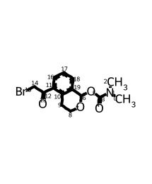 CN(C)C(=O)OC1OCCc2c(C(=O)CBr)cccc21